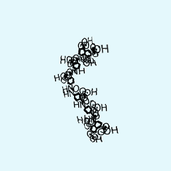 O=C(Nc1ccc(C(=O)Nc2ccc(C(=O)Nc3ccc(S(=O)(=O)O)c4cc(S(=O)(=O)O)cc(S(=O)(=O)O)c34)c(S(=O)(=O)O)c2)c(S(=O)(=O)O)c1)Nc1ccc(C(=O)Nc2ccc(C(=O)Nc3ccc(S(=O)(=O)O)c4cc(S(=O)(=O)O)cc(S(=O)(=O)O)c34)c(S(=O)(=O)O)c2)c(S(=O)(=O)O)c1